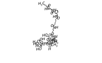 CCCCC(=O)NCCNC(=O)c1cccc(CNC(=O)CCCCC(=O)NCCCOC2OC(CO)C(OC(OC(CO)[C@@H](C)O)[C@@H](O)COC(OC(CO)[C@@H](C)O)[C@@H](O)CO)C(O)C2NC(C)=O)c1